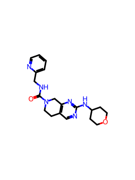 O=C(NCc1ccccn1)N1CCc2cnc(NC3CCOCC3)nc2C1